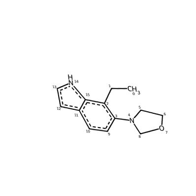 CCc1c(N2CCOC2)ccc2cc[nH]c12